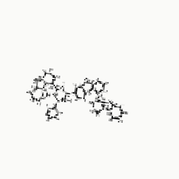 c1ccc(C2NC(c3ccc4c(c3)sc3cccc(-c5cccc6c5sc5ccccc56)c34)NC(c3cccc4sc5ccccc5c34)N2)cc1